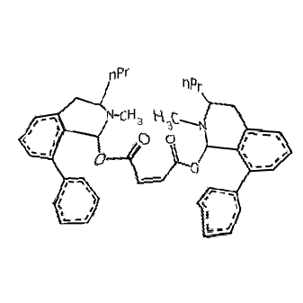 CCCC1Cc2cccc(-c3ccccc3)c2C(OC(=O)/C=C\C(=O)OC2c3c(cccc3-c3ccccc3)CC(CCC)N2C)N1C